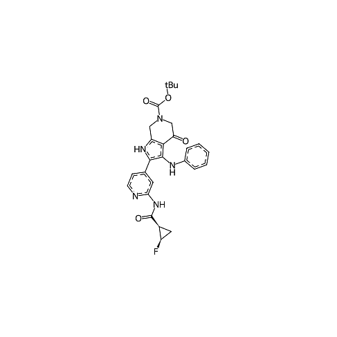 CC(C)(C)OC(=O)N1CC(=O)c2c([nH]c(-c3ccnc(NC(=O)[C@H]4C[C@H]4F)c3)c2Nc2ccccc2)C1